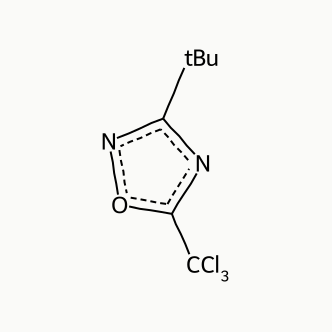 CC(C)(C)c1noc(C(Cl)(Cl)Cl)n1